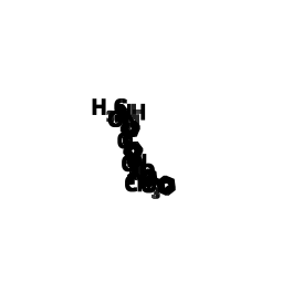 CCN(C1=COC(C2=CC=CCC2)=CO1)c1nc2ccc(Oc3ccnc(C(=O)NC)c3)cc2o1